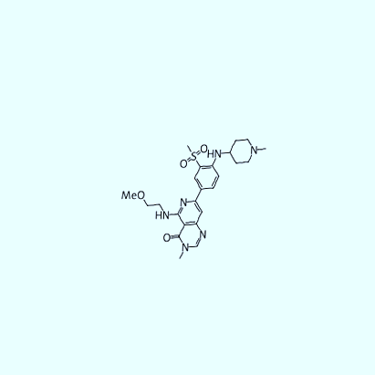 COCCNc1nc(-c2ccc(NC3CCN(C)CC3)c(S(C)(=O)=O)c2)cc2ncn(C)c(=O)c12